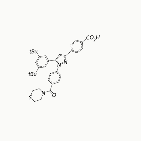 CC(C)(C)c1cc(-c2cc(-c3ccc(C(=O)O)cc3)nn2-c2ccc(C(=O)N3CCSCC3)cc2)cc(C(C)(C)C)c1